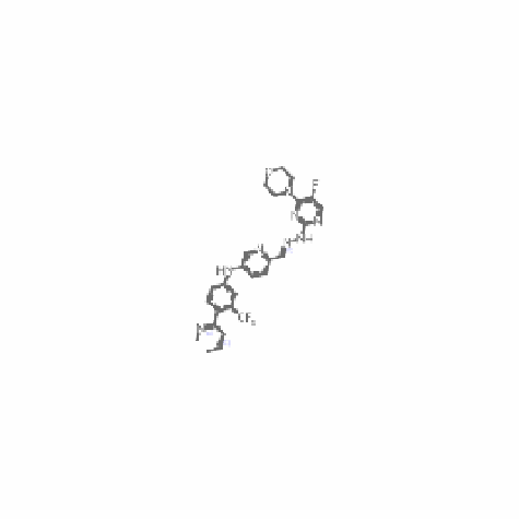 C/C=C\C(=N/C)c1ccc(Nc2ccc(/C=N/Nc3ncc(F)c(N4CCOCC4)n3)nc2)cc1C(F)(F)F